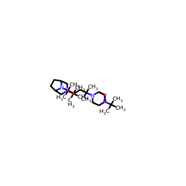 CC(C)(C)N1CC2CCC(C1)N2C(C)(C)CCC(C)(C)N1CC2CCC1CN2C(C)(C)C